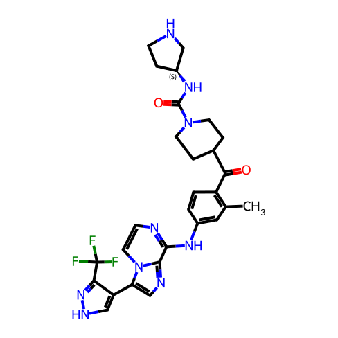 Cc1cc(Nc2nccn3c(-c4c[nH]nc4C(F)(F)F)cnc23)ccc1C(=O)C1CCN(C(=O)N[C@H]2CCNC2)CC1